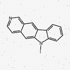 In1c2ccccc2c2cc3cnccc3cc21